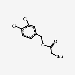 CC(C)(C)CC(=O)OCc1ccc(Cl)c(Cl)c1